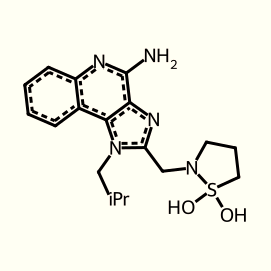 CC(C)Cn1c(CN2CCCS2(O)O)nc2c(N)nc3ccccc3c21